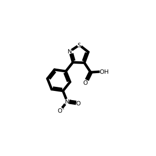 O=C(O)c1csnc1-c1cccc([N+](=O)[O-])c1